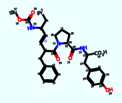 CC(C)CC(/C=C/C(Cc1ccccc1)C(=O)N1CCC[C@H]1C(=O)NC(Cc1ccc(O)cc1)C(=O)O)NC(=O)OC(C)(C)C